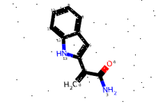 C=C(C(N)=O)c1cc2ccccc2[nH]1